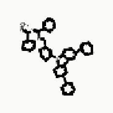 C\N=C(/N=C(\N=C\c1cccc(-n2c3ccc(-c4ccccc4)cc3c3cc(-c4ccccc4)ccc32)c1)c1ccccc1)c1ccccc1